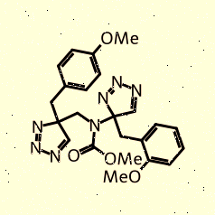 COC(=O)N(CC1(Cc2ccc(OC)cc2)C=NN=N1)C1(Cc2ccccc2OC)C=NN=N1